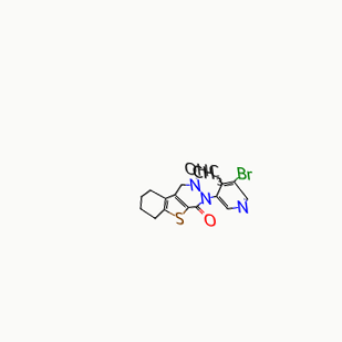 CN1Cc2c(sc3c2CCCC3)C(=O)N1c1cncc(Br)c1C=O